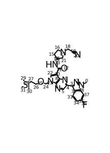 Cn1nc(-c2cnc3c(n2)c(C(=O)N[C@@H]2CCN(CC#N)C2)cn3COCC[Si](C)(C)C)c2ccc(F)cc21